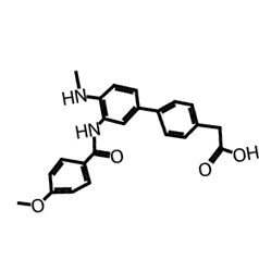 CNc1ccc(-c2ccc(CC(=O)O)cc2)cc1NC(=O)c1ccc(OC)cc1